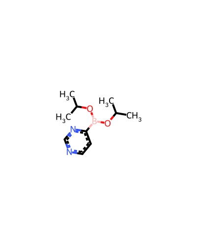 CC(C)OB(OC(C)C)c1ccncn1